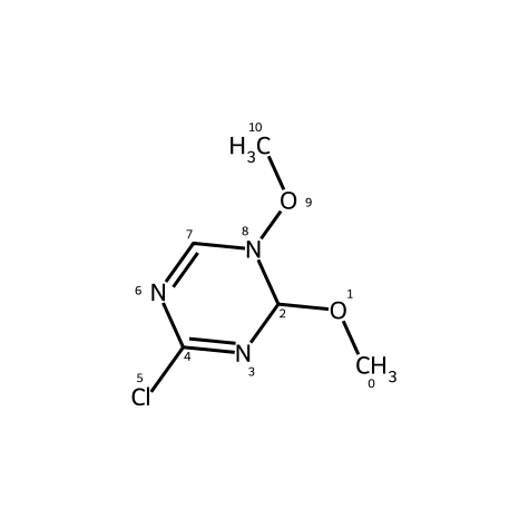 COC1N=C(Cl)N=CN1OC